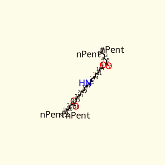 CCCCCC(CCCCC)CCCC(=O)OCCCCCCCNCCCCCCCOC(=O)CCCC(CCCCC)CCCCC